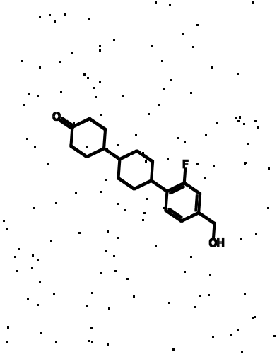 O=C1CCC(C2CCC(c3ccc(CO)cc3F)CC2)CC1